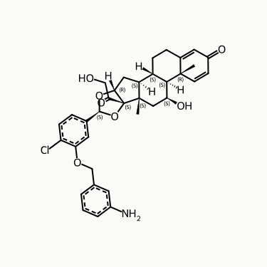 C[C@]12C=CC(=O)C=C1CC[C@@H]1[C@@H]2[C@@H](O)C[C@@]2(C)[C@H]1C[C@H]1O[C@H](c3ccc(Cl)c(OCc4cccc(N)c4)c3)O[C@]12C(=O)CO